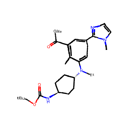 CCN(c1cc(-c2nccn2C)cc(C(=O)OC)c1C)[C@H]1CC[C@H](NC(=O)OC(C)(C)C)CC1